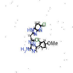 COc1ccc(-c2cnc(N)c3nc(Cc4nc5nc(Cl)ccc5[nH]4)cn23)c(Cl)c1